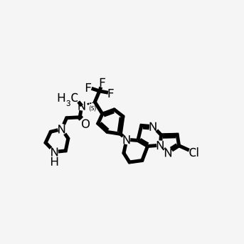 CN(C(=O)CN1CCNCC1)[C@@H](c1ccc(N2CCCc3c2cnc2cc(Cl)nn32)cc1)C(F)(F)F